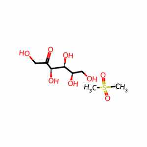 CS(C)(=O)=O.O=C(CO)[C@H](O)[C@@H](O)[C@H](O)CO